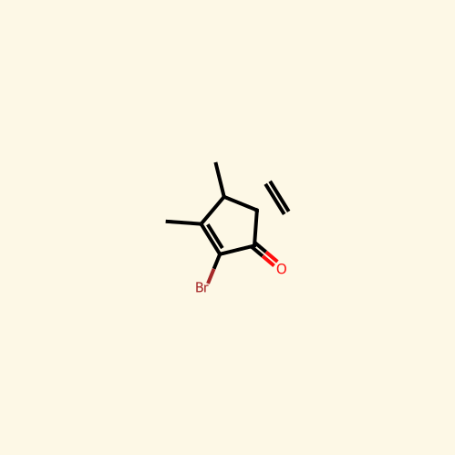 C=C.CC1=C(Br)C(=O)CC1C